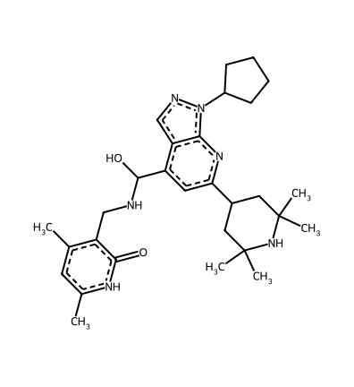 Cc1cc(C)c(CNC(O)c2cc(C3CC(C)(C)NC(C)(C)C3)nc3c2cnn3C2CCCC2)c(=O)[nH]1